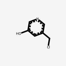 Oc1cncc(CCl)c1